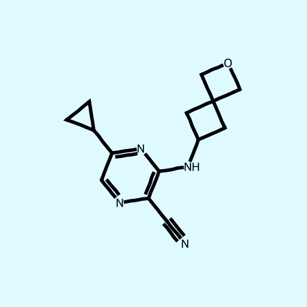 N#Cc1ncc(C2CC2)nc1NC1CC2(COC2)C1